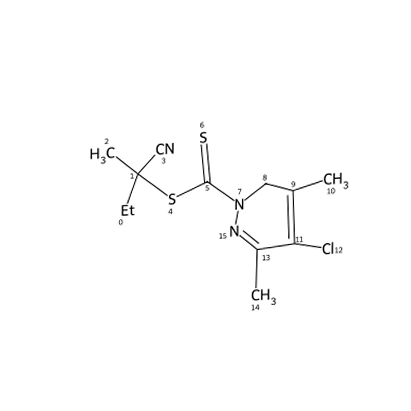 CCC(C)(C#N)SC(=S)N1CC(C)=C(Cl)C(C)=N1